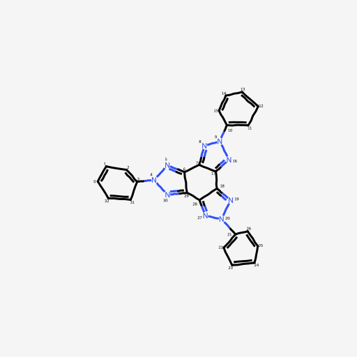 c1ccc(-n2nc3c4nn(-c5ccccc5)nc4c4nn(-c5ccccc5)nc4c3n2)cc1